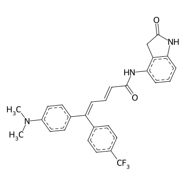 CN(C)c1ccc(/C(=C/C=C/C(=O)Nc2cccc3c2CC(=O)N3)c2ccc(C(F)(F)F)cc2)cc1